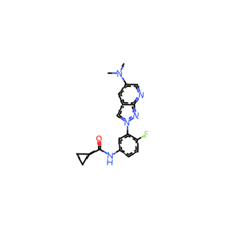 CN(C)c1cnc2nn(-c3cc(NC(=O)C4CC4)ccc3F)cc2c1